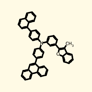 Cc1c(-c2cccc(N(c3ccc(-c4cccc5ccccc45)cc3)c3ccc(-c4cc5ccccc5c5ccccc45)cc3)c2)oc2ccccc12